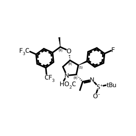 CC(=N[S+]([O-])C(C)(C)C)[C@H]1[C@H](c2ccc(F)cc2)[C@@H](O[C@H](C)c2cc(C(F)(F)F)cc(C(F)(F)F)c2)CN1C(=O)O